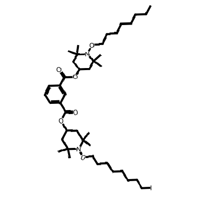 CCCCCCCCON1C(C)(C)CC(OC(=O)c2cccc(C(=O)OC3CC(C)(C)N(OCCCCCCCCI)C(C)(C)C3)c2)CC1(C)C